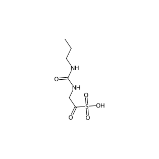 CCCNC(=O)NCC(=O)S(=O)(=O)O